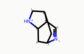 C1=NC2CC3CNC(C2)C13